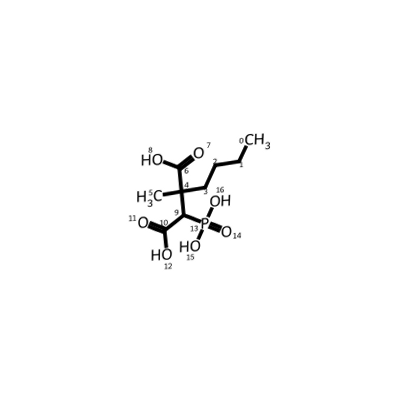 CCCCC(C)(C(=O)O)C(C(=O)O)P(=O)(O)O